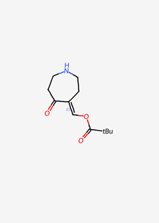 CC(C)(C)C(=O)O/C=C1\CCNCCC1=O